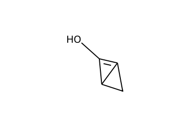 OC1=C2CC12